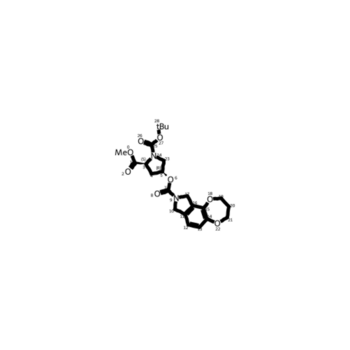 COC(=O)[C@@H]1C[C@@H](OC(=O)N2Cc3ccc4c(c3C2)OCCCO4)CN1C(=O)OC(C)(C)C